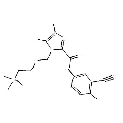 C[Si](C)(C)CCOCn1c(C(=O)Cc2ccc(F)c(C#N)c2)nc(Cl)c1Cl